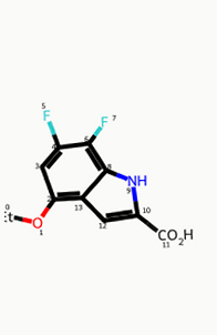 CCOc1cc(F)c(F)c2[nH]c(C(=O)O)cc12